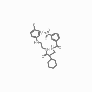 CS(=O)(=O)c1cccc(C(=O)NCC(C(=O)NCCNc2ccc(F)cc2)C2CCCCC2)c1